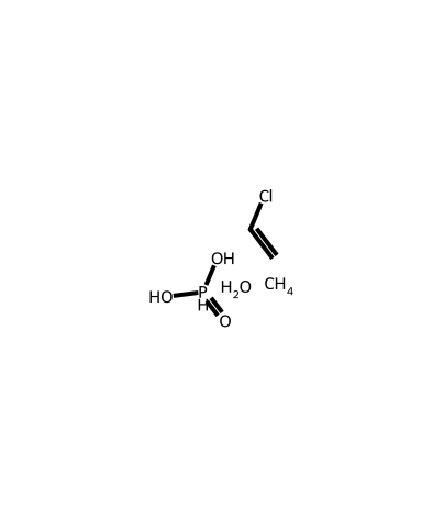 C.C=CCl.O.O=[PH](O)O